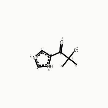 CCC(C)(C)C(=O)c1cnc[nH]1